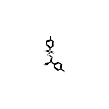 Cc1ccc(S(=O)(=O)ON=C(C#N)c2ccc(F)cc2)cc1